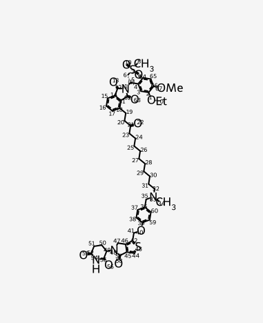 CCOc1cc([C@@H](CS(C)(=O)=O)N2C(=O)c3cccc(CCC(=O)CCCCCCCCCCN(C)Cc4ccc(OCc5scc6c5CN(C5CCC(=O)NC5=O)C6=O)cc4)c3C2=O)ccc1OC